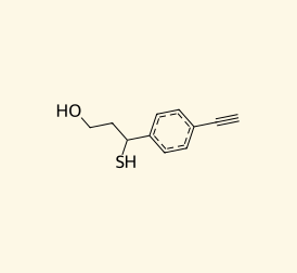 C#Cc1ccc(C(S)CCO)cc1